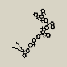 CCCCCCCC1(CCCCCCC)c2ccccc2-c2ccc(-c3ccc4c(c3)C(C)(C)c3cc(-c5ccc(-c6cc7c(c8c6oc6ccccc68)-c6ccc(N(c8ccc9c(c8)C(C)(C)c8c%10c(c%11c(oc%12ccccc%12%11)c8-9)-c8ccccc8C%10(C)C)c8cccc9ccccc89)cc6C7(C)C)cc5)ccc3-4)cc21